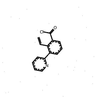 C=Cc1c(C(=O)Cl)cccc1-c1ccccn1